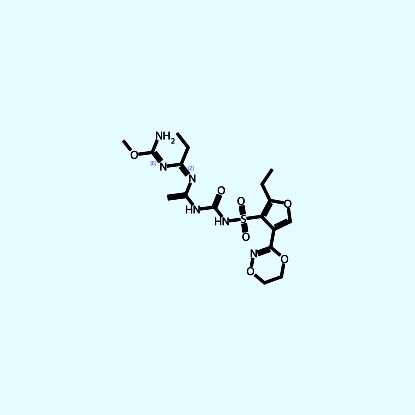 C=C(/N=C(CC)\N=C(/N)OC)NC(=O)NS(=O)(=O)c1c(C2=NOCCO2)coc1CC